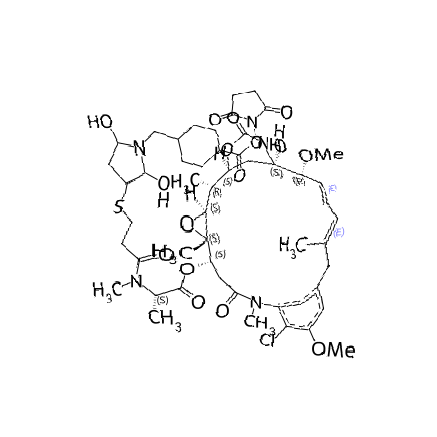 COc1cc2cc(c1Cl)N(C)C(=O)C[C@H](OC(=O)[C@H](C)N(C)C(=O)CCSC1CC(O)N(CC3CCC(C(=O)ON4C(=O)CCC4=O)CC3)C1O)[C@]1(C)O[C@H]1[C@H](C)[C@@H]1C[C@@](O)(NC(=O)O1)[C@H](OC)/C=C/C=C(\C)C2